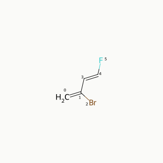 C=C(Br)/C=C/F